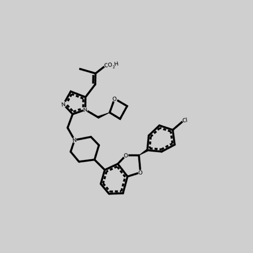 C/C(=C\c1cnc(CN2CCC(c3cccc4c3O[C@@H](c3ccc(Cl)cc3)O4)CC2)n1C[C@@H]1CCO1)C(=O)O